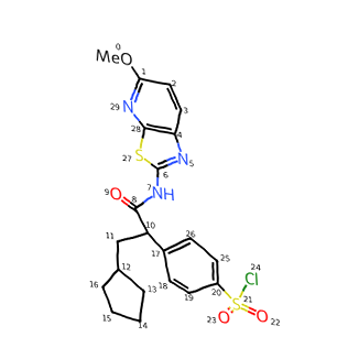 COc1ccc2nc(NC(=O)C(CC3CCCC3)c3ccc(S(=O)(=O)Cl)cc3)sc2n1